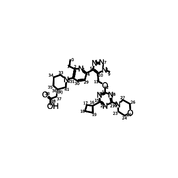 CCc1nc(-c2nnn(C)c2COc2nc(C3CCC3)nc(N3CCOCC3)n2)ccc1N1CCC[C@H](CC(=O)O)C1